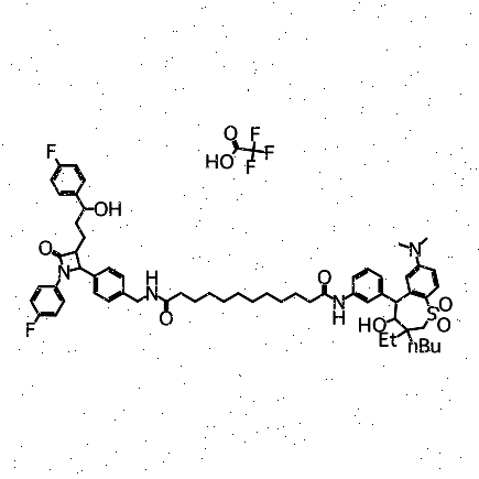 CCCCC1(CC)CS(=O)(=O)c2ccc(N(C)C)cc2C(c2cccc(NC(=O)CCCCCCCCCCC(=O)NCc3ccc(C4C(CCC(O)c5ccc(F)cc5)C(=O)N4c4ccc(F)cc4)cc3)c2)C1O.O=C(O)C(F)(F)F